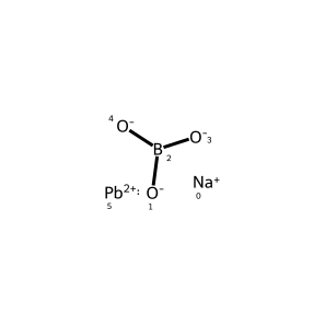 [Na+].[O-]B([O-])[O-].[Pb+2]